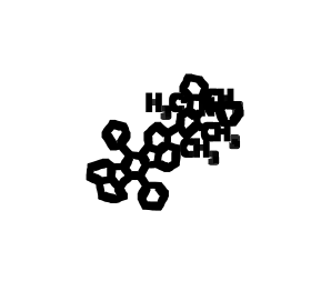 Cc1c(-c2ccc3c4c(-c5ccccc5)c5c6cccc7cccc(c5c(-c5ccccc5)c4c4cccc2c43)c76)cc2c(c1C)N(c1ccccc1)C1(C)CCCCC21C